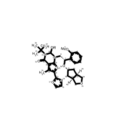 COc1ccccc1[C@@H](CN1c2sc(-c3ncco3)c(C)c2C(=O)N(C(C)(C)C(=O)O)C1O)O[C@@H]1C[C@H]2COC[C@H]2C1